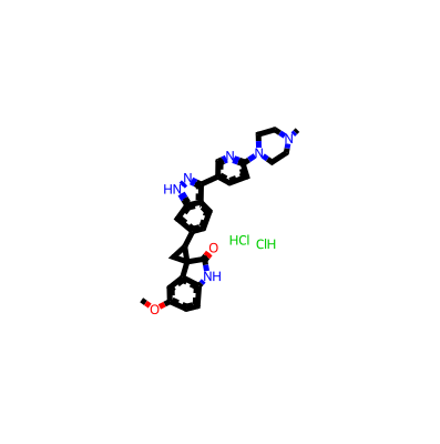 COc1ccc2c(c1)C1(CC1c1ccc3c(-c4ccc(N5CCN(C)CC5)nc4)n[nH]c3c1)C(=O)N2.Cl.Cl